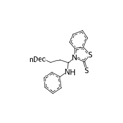 CCCCCCCCCCCCC(Nc1ccccc1)n1c(=S)sc2ccccc21